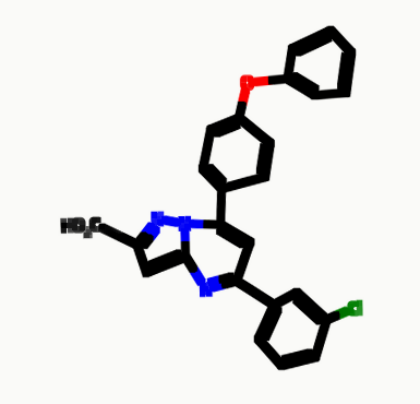 O=C(O)c1cc2nc(-c3cccc(Cl)c3)cc(-c3ccc(Oc4ccccc4)cc3)n2n1